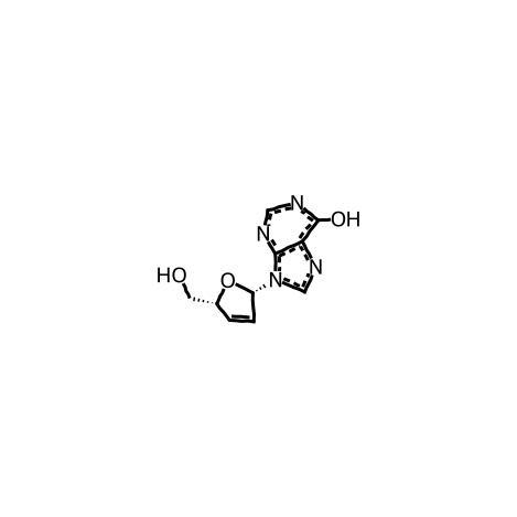 OC[C@H]1C=C[C@@H](n2cnc3c(O)ncnc32)O1